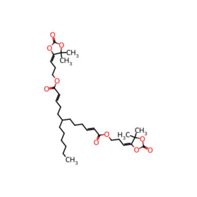 CCCCCCC(CCC=CC(=O)OCC/C=C1/OC(=O)OC1(C)C)CCC/C=C/C(=O)OCC/C=C1/OC(=O)OC1(C)C